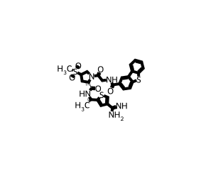 C[C@@H](NC(=O)[C@@H]1CC(S(C)(=O)=O)CN1C(=O)CNC(=O)c1ccc2sc3ccccc3c2c1)c1cc(C(=N)N)cs1